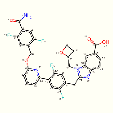 NC(=O)c1cc(F)c(COc2cccc(-c3cc(F)c(Cc4nc5ccc(C(=O)O)cc5n4C[C@@H]4CCO4)cc3F)n2)cc1F